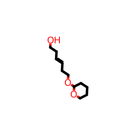 OCCC=CCCOC1CCCCO1